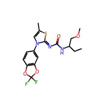 CCC(COC)NC(=O)N=c1sc(C)cn1-c1ccc2c(c1)OC(F)(F)O2